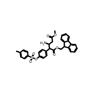 COC(=O)CC(N)C(C(=O)OCC1c2ccccc2-c2ccccc21)c1ccc(OS(=O)(=O)c2ccc(C)cc2)cc1